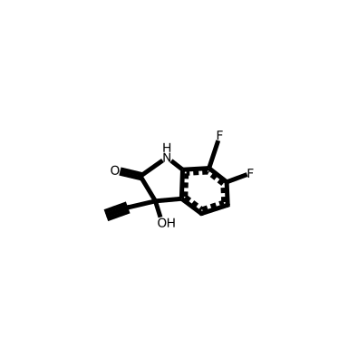 C#CC1(O)C(=O)Nc2c1ccc(F)c2F